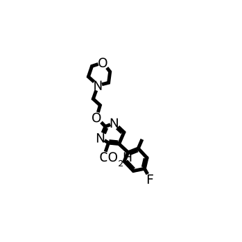 Cc1cc(F)ccc1-c1cnc(OCCN2CCOCC2)nc1C(=O)O